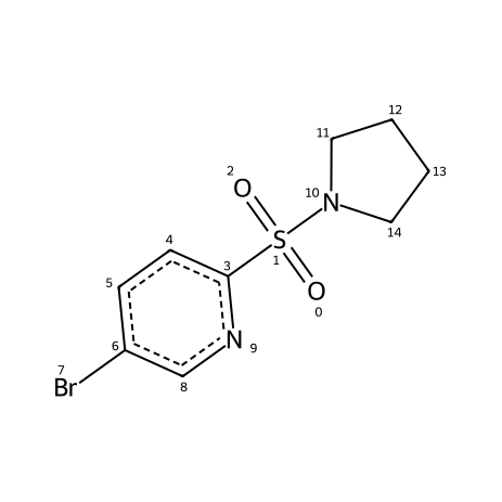 O=S(=O)(c1ccc(Br)cn1)N1CCCC1